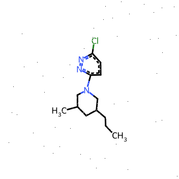 CCCC1CC(C)CN(c2ccc(Cl)nn2)C1